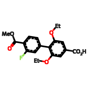 CCOc1cc(C(=O)O)cc(OCC)c1-c1ccc(C(=O)OC)c(F)c1